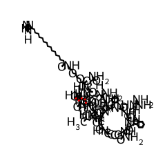 CC(C)C[C@@H](NC(=O)[C@H](CO)NC(=O)[C@H](Cc1c[nH]cn1)NC(=O)[C@H](CO)NC(=O)[C@H](CCCNC(=N)N)NC(=O)[C@H](CCC(N)=O)NC(=O)COCCOCCNC(=O)CCCCCCCCCCCCCCCc1nnn[nH]1)C(=O)N[C@H]1CCC(=O)NCCCC[C@@H](C(N)=O)NC(=O)[C@H](Cc2c[nH]c3ccccc23)NC(=O)[C@H](CCCNC(=N)N)NC(=O)[C@@H](Cc2ccccc2)NC(=O)[C@@H]2C[C@@H](O)CN2C1=O